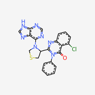 O=c1c2c(Cl)cccc2nc(C2CSCN2c2ncnc3[nH]cnc23)n1-c1ccccc1